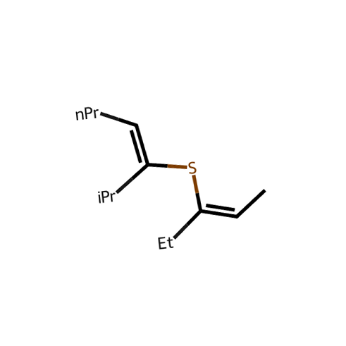 C/C=C(/CC)S/C(=C/CCC)C(C)C